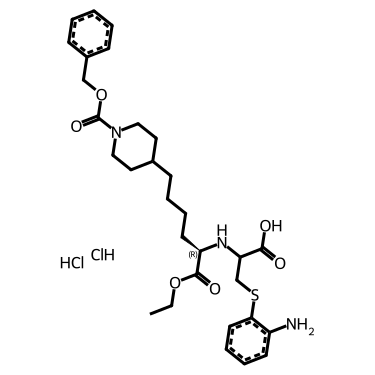 CCOC(=O)[C@@H](CCCCC1CCN(C(=O)OCc2ccccc2)CC1)NC(CSc1ccccc1N)C(=O)O.Cl.Cl